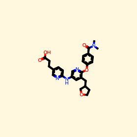 CN(C)C(=O)c1ccc(Oc2ncc(Nc3ccc(CCC(=O)O)cn3)cc2CC2CCOC2)cc1